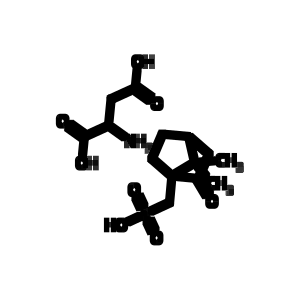 CC1(C)C2CCC1(CS(=O)(=O)O)C(=O)C2.NC(CC(=O)O)C(=O)O